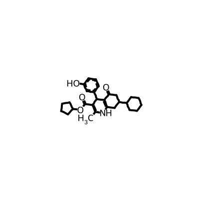 CC1=C(C(=O)OC2CCCC2)C(c2cccc(O)c2)C2=C(CC(C3CCCCC3)CC2=O)N1